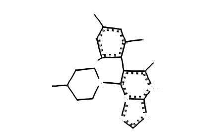 CC1CCN(c2c(-c3c(F)cc(I)cc3F)c(Cl)nc3ncnn23)CC1